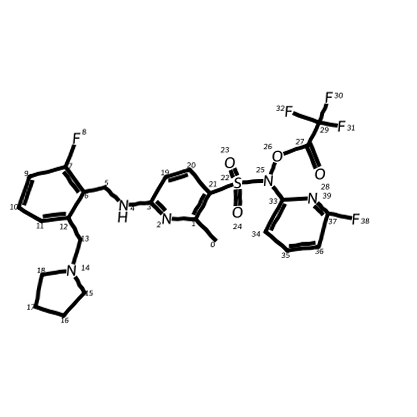 Cc1nc(NCc2c(F)cccc2CN2CCCC2)ccc1S(=O)(=O)N(OC(=O)C(F)(F)F)c1cccc(F)n1